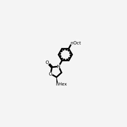 CCCCCCCCc1ccc(N2C[C@@H](CCCCCC)OC2=O)cc1